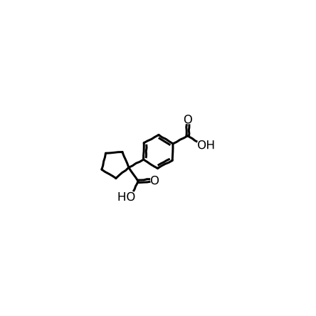 O=C(O)c1ccc(C2(C(=O)O)CCCC2)cc1